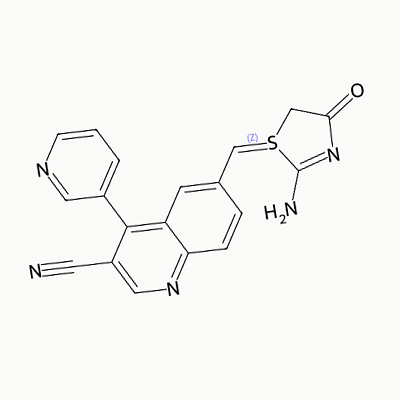 N#Cc1cnc2ccc(/C=S3/CC(=O)N=C3N)cc2c1-c1cccnc1